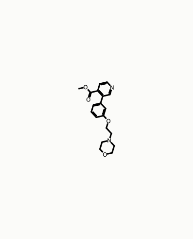 COC(=O)c1ccncc1-c1cccc(OCCN2CCOCC2)c1